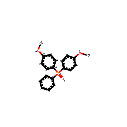 N#COc1ccc(P(=O)(c2ccccc2)c2ccc(OC#N)cc2)cc1